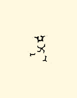 CCCCC(CC)COCC1(COCC(CC)CCCC)COc2c(Br)sc(Br)c2OC1